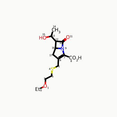 CCOCCSCC1=C(C(=O)O)N2C(=O)C(C(C)O)C2C1